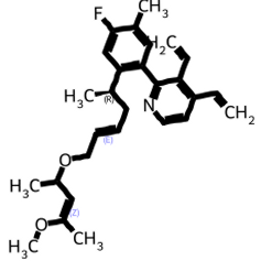 C=Cc1ccnc(-c2cc(C)c(F)cc2[C@H](C)C/C=C/COC(C)/C=C(/C)OC)c1C=C